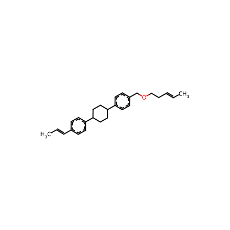 CC=CCCOCc1ccc(C2CCC(c3ccc(/C=C/C)cc3)CC2)cc1